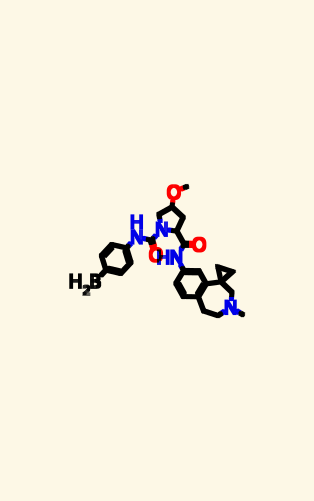 Bc1ccc(NC(=O)N2CC(OC)CC2C(=O)Nc2ccc3c(c2)C2(CC2)CN(C)CC3)cc1